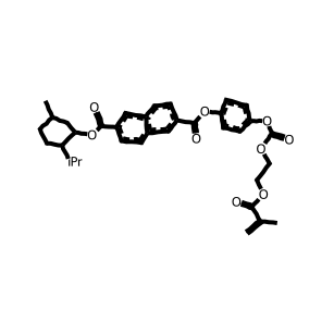 C=C(C)C(=O)OCCOC(=O)Oc1ccc(OC(=O)c2ccc3cc(C(=O)OC4CC(C)CCC4C(C)C)ccc3c2)cc1